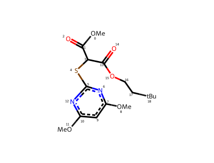 COC(=O)C(Sc1nc(OC)cc(OC)n1)C(=O)OCCC(C)(C)C